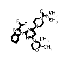 C[C@@H]1[C@@H](C)OCCN1c1cc(N2CCN(C(=O)N(C)C)CC2)nc(-n2c(C(F)F)nc3ccccc32)n1